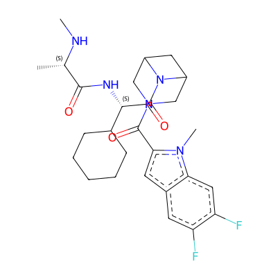 CN[C@@H](C)C(=O)N[C@H](C(=O)N1C2CC1CN(C(=O)c1cc3cc(F)c(F)cc3n1C)C2)C1CCCCC1